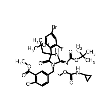 COC(=O)c1cc([C@@H](COC(=O)NC2CC2)N2C(=O)C(CC(C)(C)C)(c3ccc(Br)cc3F)NC2=NC(=O)OC(C)(C)C)ccc1Cl